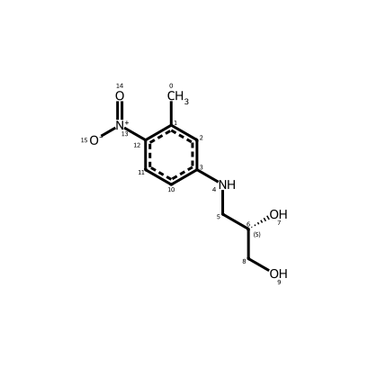 Cc1cc(NC[C@H](O)CO)ccc1[N+](=O)[O-]